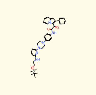 CC(C)(C)[Si](C)(C)OCCNc1cccc(N2CCN(c3ccc(NC(=O)C(=O)c4c(-c5ccccc5)cc5ccccn45)cc3)CC2)n1